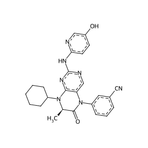 C[C@@H]1C(=O)N(c2cccc(C#N)c2)c2cnc(Nc3ccc(O)cn3)nc2N1C1CCCCC1